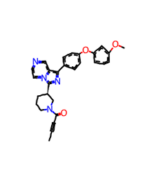 CC#CC(=O)N1CCC[C@@H](c2nc(-c3ccc(Oc4cccc(OC)c4)cc3)c3cnccn23)C1